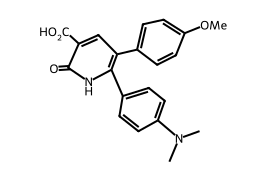 COc1ccc(-c2cc(C(=O)O)c(=O)[nH]c2-c2ccc(N(C)C)cc2)cc1